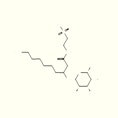 CCCCCCCC(CC(=O)NCCS(=O)(=O)O)O[C@@H]1O[C@@H](C)[C@H](O)[C@@H](O)[C@H]1O